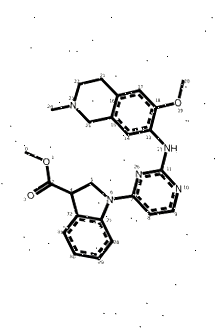 COC(=O)C1CN(c2ccnc(Nc3cc4c(cc3OC)CCN(C)C4)n2)c2ccccc21